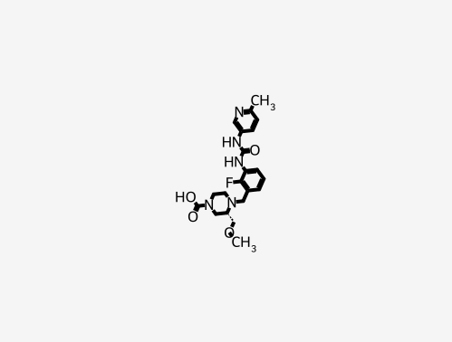 COC[C@@H]1CN(C(=O)O)CCN1Cc1cccc(NC(=O)Nc2ccc(C)nc2)c1F